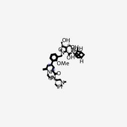 C=C(/C=C(\C=C\C(=O)N[C@@H](CC(C)C)CN(C)C)c1cccc(CN2O[C@@H](CO)[C@@H]([C@H](C)O)[C@H]2C(=O)N[C@H]2C[C@H]3C[C@@H]([C@@H]2C)C3(C)C)c1OC)NCC(C)C